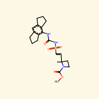 CC(C)(C)OC(=O)N1CCC1(C)/C=C/S(=O)(=O)NC(=O)Nc1c2c(cc3c1CCC3)CCC2